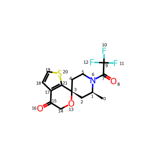 C[C@H]1C[C@@]2(CCN1C(=O)C(F)(F)F)OCC(=O)c1ccsc12